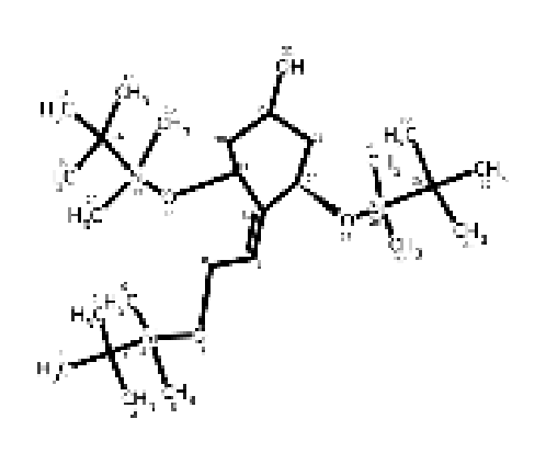 CC(C)(C)[Si](C)(C)OC/C=C1\C(O[Si](C)(C)C(C)(C)C)CC(O)C[C@H]1O[Si](C)(C)C(C)(C)C